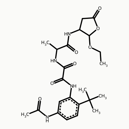 CCOC1OC(=O)CC1NC(=O)C(C)NC(=O)C(=O)Nc1cc(NC(C)=O)ccc1C(C)(C)C